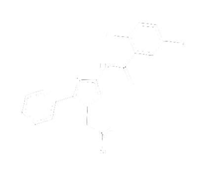 NC(=O)Cc1sc(NC(=O)c2cc(Br)ccc2O)nc1-c1ccccc1